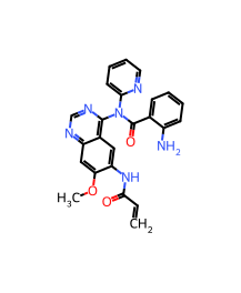 C=CC(=O)Nc1cc2c(N(C(=O)c3ccccc3N)c3ccccn3)ncnc2cc1OC